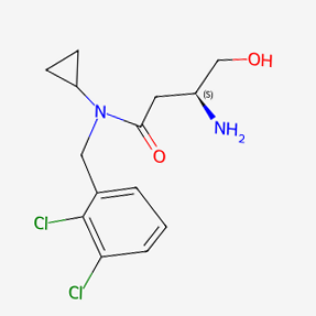 N[C@H](CO)CC(=O)N(Cc1cccc(Cl)c1Cl)C1CC1